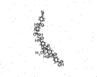 CC(C)Oc1c(NC(=O)c2ccc(NC(=O)CNC(=O)c3ccc(NC(=O)c4ccc(C#N)cc4)cn3)cn2)ccc(C(=O)Nc2ccc(C(=O)O)cc2)c1O